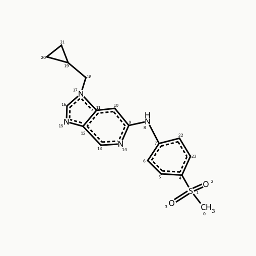 CS(=O)(=O)c1ccc(Nc2cc3c(cn2)ncn3CC2CC2)cc1